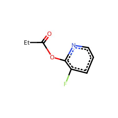 CCC(=O)Oc1ncccc1F